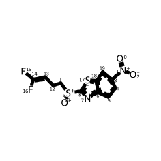 O=[N+]([O-])c1ccc2nc([S+]([O-])CCC=C(F)F)sc2c1